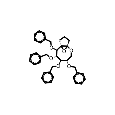 c1ccc(CO[C@H]2[C@H](OCc3ccccc3)[C@@H](OCc3ccccc3)[C@@]34CCC[C@@]3(OC[C@@H]2OCc2ccccc2)O4)cc1